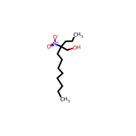 CCCCCCCCC(CO)(CCC)[N+](=O)[O-]